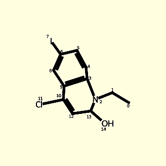 CCN1c2ccc(I)cc2C(Cl)=CC1O